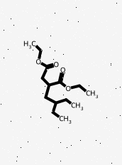 CCOC(=O)CC(CC(CC)CC)C(=O)OCC